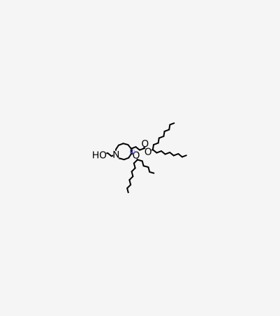 CCCCCCCCC(CCCCCCCC)OC(=O)CC/C1=C(\OC(CCCCC)CCCCCCCC)CCCN(CCO)CCCC1